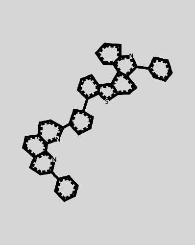 c1ccc(-c2ccc3ccc4ccc(-c5cccc(-c6cccc7c6sc6ccc8c(-c9ccccc9)nc9ccccc9c8c67)c5)nc4c3n2)cc1